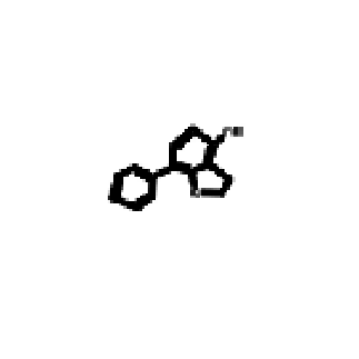 Oc1ccc(-c2ccccc2)c2c1CCO2